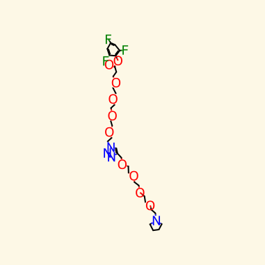 O=C(CCOCCOCCOCCOCCn1cc(COCCOCCOCCOCCN2CCCC2)nn1)Oc1c(F)cc(F)cc1F